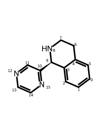 c1ccc2c(c1)CCN[C@@H]2c1cnccn1